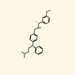 COc1cccc([C@@H](C)NCc2ccc(N(CCN(C)C)c3ccccc3)cc2)c1